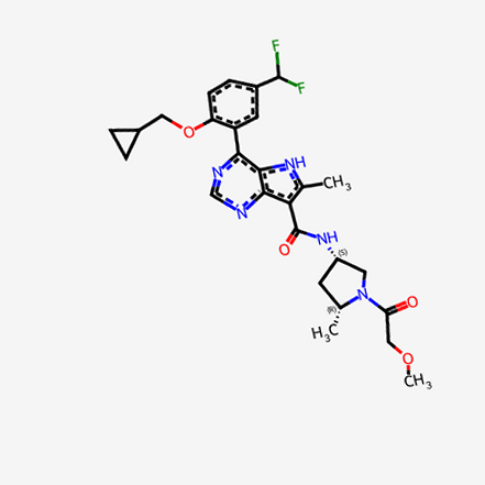 COCC(=O)N1C[C@@H](NC(=O)c2c(C)[nH]c3c(-c4cc(C(F)F)ccc4OCC4CC4)ncnc23)C[C@H]1C